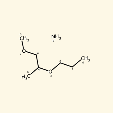 CCCOC(C)COC.N